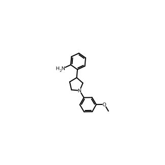 COc1cccc(N2CCC(c3ccccc3N)C2)c1